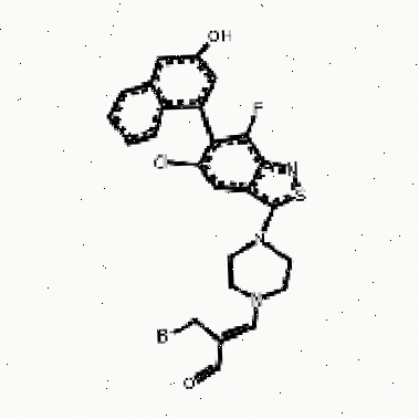 O=CC(=CN1CCN(c2snc3c(F)c(-c4cc(O)cc5ccccc45)c(Cl)cc23)CC1)CBr